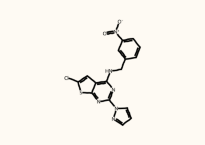 O=[N+]([O-])c1cccc(CNc2nc(-n3cccn3)nc3sc(Cl)cc23)c1